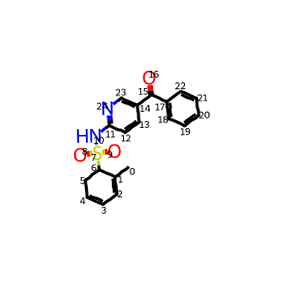 CC1=CC=CCC1S(=O)(=O)Nc1ccc(C(=O)c2ccccc2)cn1